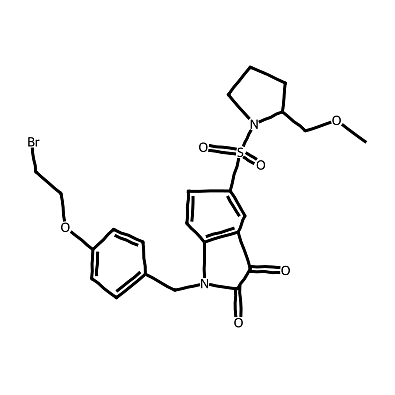 COCC1CCCN1S(=O)(=O)c1ccc2c(c1)C(=O)C(=O)N2Cc1ccc(OCCBr)cc1